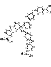 CC(C)(C)C(c1ccc(Cc2ccc(N(CO)CN(CNc3ccc(Cc4ccc(N(C(C)(C)C)C(C)(C)C)cc4)cc3)c3ccc(Cc4ccc(N(C(C)(C)C)C(C)(C)C)cc4)cc3)cc2)cc1)C(C)(C)C